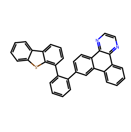 c1ccc(-c2cccc3c2sc2ccccc23)c(-c2ccc3c(c2)c2ccccc2c2nccnc32)c1